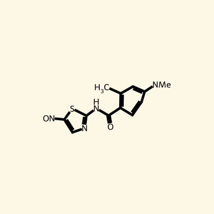 CNc1ccc(C(=O)Nc2ncc(N=O)s2)c(C)c1